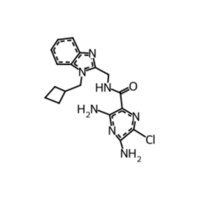 Nc1nc(N)c(C(=O)NCc2nc3ccccc3n2CC2CCC2)nc1Cl